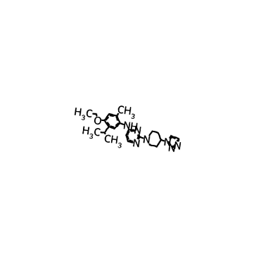 CCOc1cc(C)c(Nc2ccnc(N3CCC(n4ccnn4)CC3)n2)cc1C(C)C